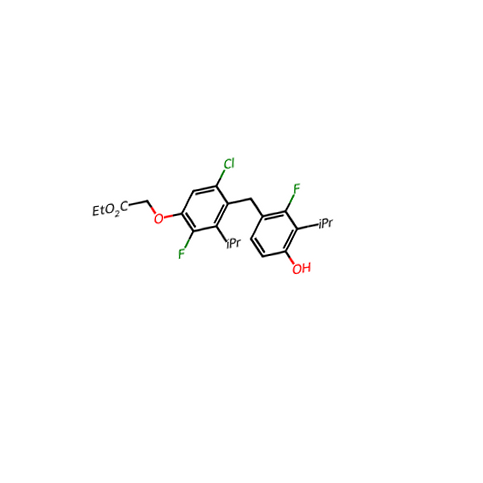 CCOC(=O)COc1cc(Cl)c(Cc2ccc(O)c(C(C)C)c2F)c(C(C)C)c1F